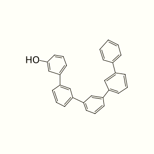 Oc1cccc(-c2cccc(-c3cccc(-c4cccc(-c5ccccc5)c4)c3)c2)c1